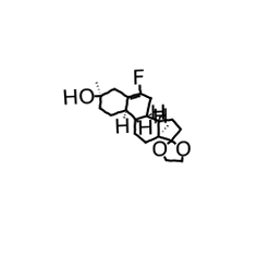 C[C@@]1(O)CC[C@H]2C(=C(F)C[C@@H]3[C@@H]2CC[C@@]2(C)[C@H]3CCC23OCCO3)C1